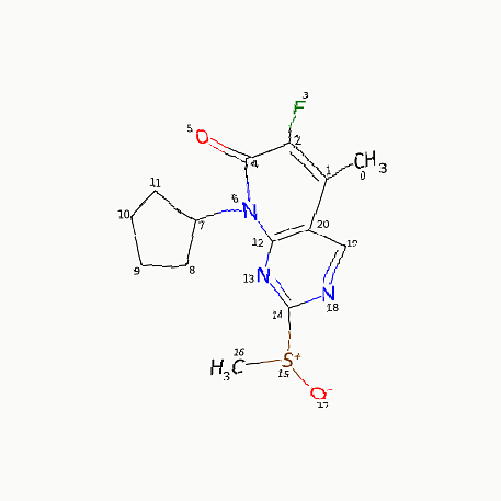 Cc1c(F)c(=O)n(C2CCCC2)c2nc([S+](C)[O-])ncc12